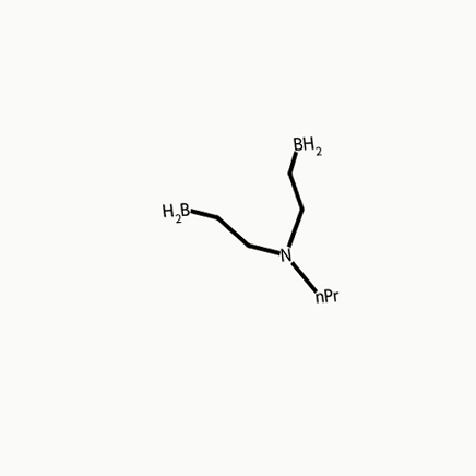 BCCN(CCB)CCC